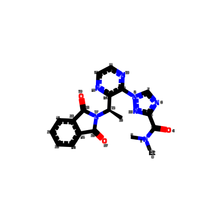 CCN(C)C(=O)c1ncn(-c2nccnc2[C@@H](C)N2C(=O)c3ccccc3C2=O)n1